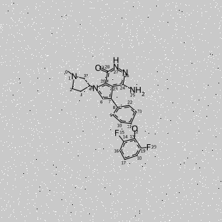 CN1CCC(n2cc(-c3ccc(Oc4c(F)cccc4F)cc3)c3c(N)n[nH]c(=O)c32)C1